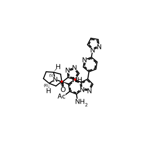 CC(=O)c1c([C@H]2C[C@H]3CC[C@@H](C2)N3C(=O)c2nnc[nH]2)nc2c(-c3ccc(-n4cccn4)nc3)cnn2c1N